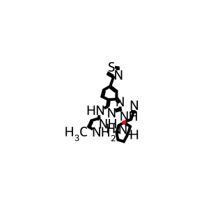 C/C(N)=C/C(=N)Nc1nc(N[C@@H]2C[C@H]3CC[C@@H](C2)N3CCC#N)nc2cc(-c3cscn3)ccc12